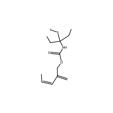 C=C(/C=C\C)COC(=O)NC(CC)(CC)SI